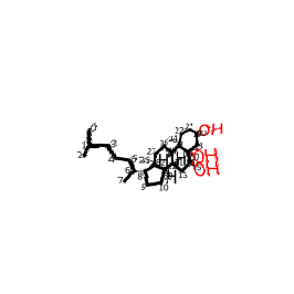 CC(C)CCCC(C)[C@H]1CC[C@H]2[C@@H]3CC(O)C4(O)CC(O)CC[C@]4(C)[C@H]3CC[C@]12C